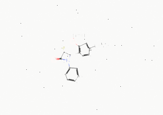 CCCCOc1cc(OC)ccc1[C@@H]1[C@H](S)C(=O)N1c1ccccc1